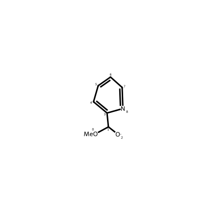 COC([O])c1ccccn1